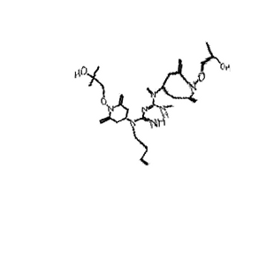 C=C1CC(N(CCCC)C(=N)/N=C(\NC)N(C)C2CC(=C)N(OCC(C)O)C(=C)C2)CC(=C)N1OCC(C)(C)O